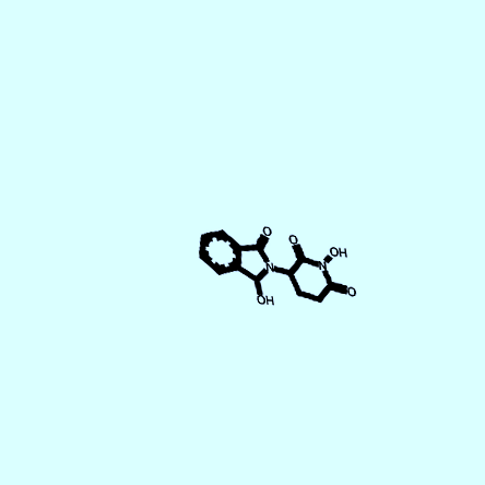 O=C1CCC(N2C(=O)c3ccccc3C2O)C(=O)N1O